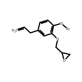 C=CCc1ccc(OCC)c(OCC2CO2)c1